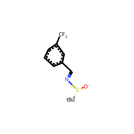 CC(C)(C)[S@@+]([O-])/N=C/c1cccc(C(F)(F)F)c1